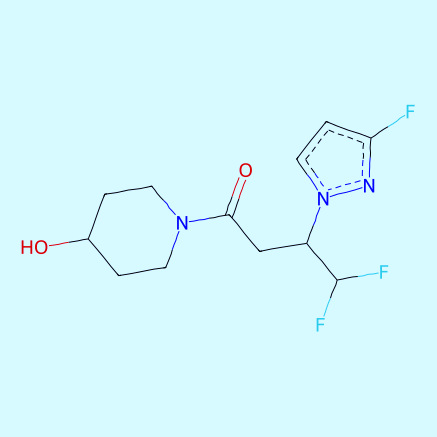 O=C(CC(C(F)F)n1ccc(F)n1)N1CCC(O)CC1